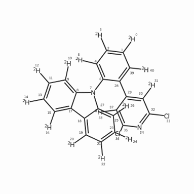 [2H]c1c([2H])c([2H])c(-n2c3c([2H])c([2H])c([2H])c([2H])c3c3c([2H])c([2H])c([2H])c([2H])c32)c(-c2c([2H])c(Cl)nc(Cl)c2[2H])c1[2H]